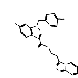 O=C(NCCc1nnc2ccccn12)c1nn(Cc2ccc(Cl)cc2)c2cc(Br)ccc12